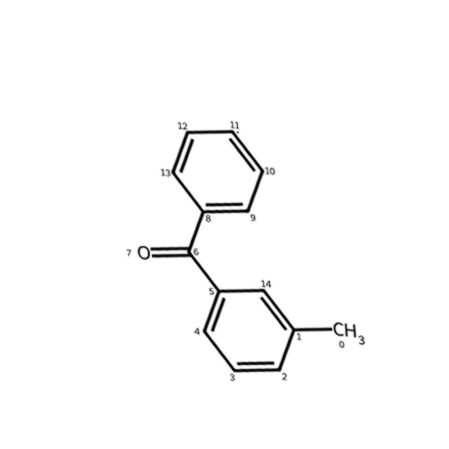 Cc1cccc(C(=O)c2cc[c]cc2)c1